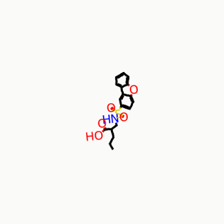 CCCC(CNS(=O)(=O)c1ccc2oc3ccccc3c2c1)C(=O)O